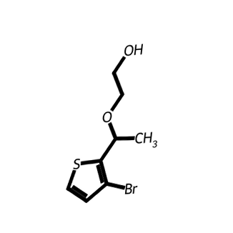 CC(OCCO)c1sccc1Br